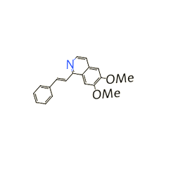 COc1cc2ccnc(C=Cc3ccccc3)c2cc1OC